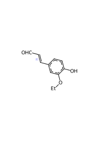 CCOc1cc(/C=C/C=O)ccc1O